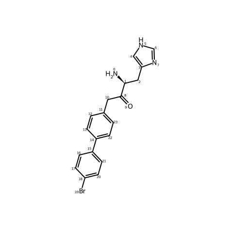 N[C@@H](Cc1c[nH]cn1)C(=O)Cc1ccc(-c2ccc(Br)cc2)cc1